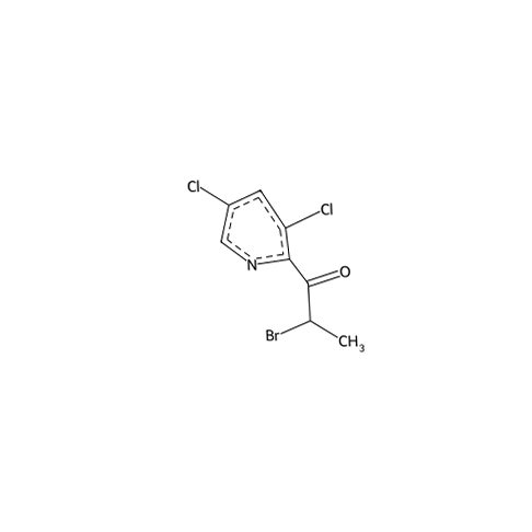 CC(Br)C(=O)c1ncc(Cl)cc1Cl